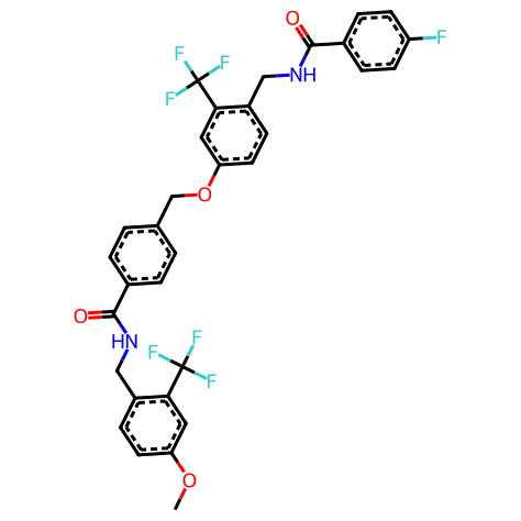 COc1ccc(CNC(=O)c2ccc(COc3ccc(CNC(=O)c4ccc(F)cc4)c(C(F)(F)F)c3)cc2)c(C(F)(F)F)c1